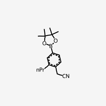 CCCc1cc(B2OC(C)(C)C(C)(C)O2)ccc1CC#N